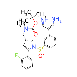 CN(Cc1cc(-c2ccccc2F)n([S+]([O-])c2cccc(/C(C=N)=C/N)c2)c1)C(=O)OC(C)(C)C